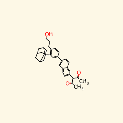 CC(=O)C(C(C)=O)c1ccc2cc(-c3ccc(CCCO)c(C45CC6CC(CC(C6)C4)C5)c3)ccc2c1